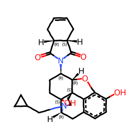 O=C1[C@H]2CC=CC[C@H]2C(=O)N1[C@@H]1CC[C@@]2(O)[C@H]3Cc4ccc(O)c5c4[C@@]2(CCN3CC2CC2)[C@H]1O5